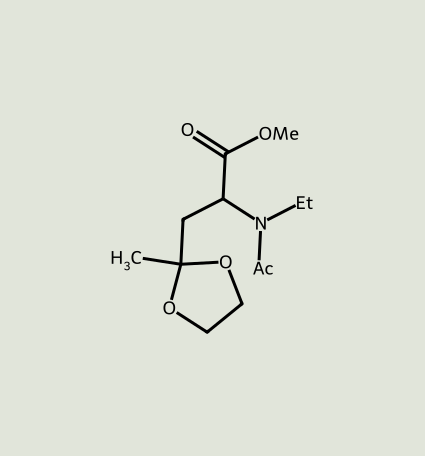 CCN(C(C)=O)C(CC1(C)OCCO1)C(=O)OC